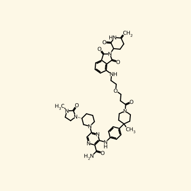 C=C1CCC(N2C(=O)c3cccc(NCCOCCC(=O)N4CCC(C)(c5ccc(Nc6nc(N7CCC[C@@H](N8CCN(C)C8=O)C7)cnc6C(N)=O)cc5)CC4)c3C2=O)C(=O)N1